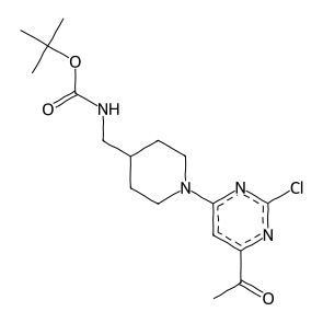 CC(=O)c1cc(N2CCC(CNC(=O)OC(C)(C)C)CC2)nc(Cl)n1